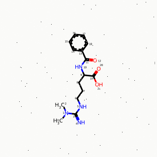 CN(C)C(=N)NCCCC(NC(=O)c1ccccc1)C(=O)O